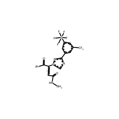 CC(C)C(=O)/C(=C/C(=O)NN)n1cnc(-c2cc(C(F)(F)F)cc(S(F)(F)(F)(F)F)c2)n1